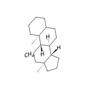 C.C[C@@]12CCC[C@H]1[C@@H]1CCC3CCCC[C@]3(C)[C@H]1CC2